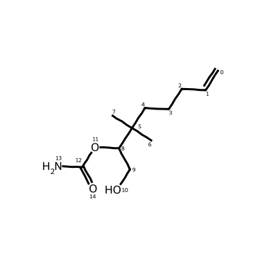 C=CCCCC(C)(C)C(CO)OC(N)=O